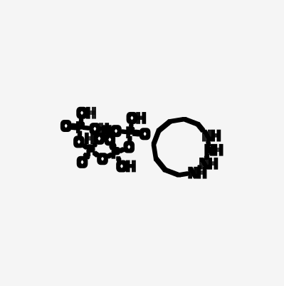 C1CCCCNNNNCCC1.O=P(O)(O)OP(=O)(O)OP(=O)(O)OP(=O)(O)O